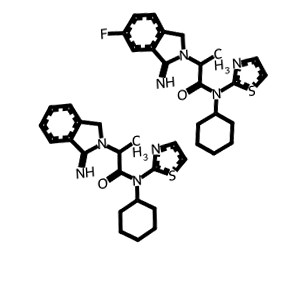 CC(C(=O)N(c1nccs1)C1CCCCC1)N1Cc2ccc(F)cc2C1=N.CC(C(=O)N(c1nccs1)C1CCCCC1)N1Cc2ccccc2C1=N